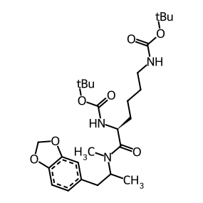 CC(Cc1ccc2c(c1)OCO2)N(C)C(=O)[C@H](CCCCNC(=O)OC(C)(C)C)NC(=O)OC(C)(C)C